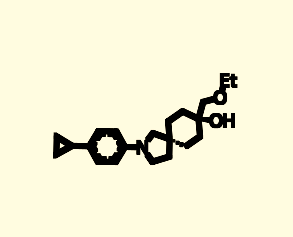 CCOC[C@]1(O)CC[C@@]2(CCN(c3ccc(C4CC4)cc3)C2)CC1